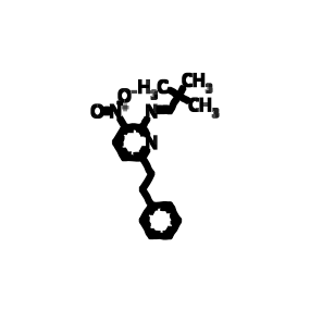 CC(C)(C)C=Nc1nc(CCc2ccccc2)ccc1[N+](=O)[O-]